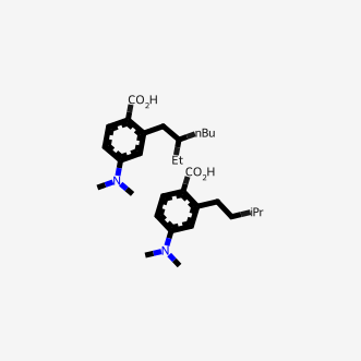 CC(C)CCc1cc(N(C)C)ccc1C(=O)O.CCCCC(CC)Cc1cc(N(C)C)ccc1C(=O)O